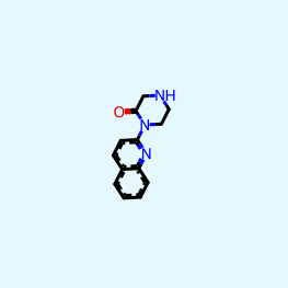 O=C1CNCCN1c1ccc2ccccc2n1